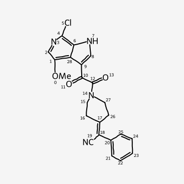 COc1cnc(Cl)c2[nH]cc(C(=O)C(=O)N3CCC(=C(C#N)c4ccccc4)CC3)c12